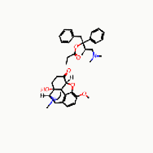 CCC(=O)O[C@](Cc1ccccc1)(c1ccccc1)[C@H](C)CN(C)C.COc1ccc2c3c1O[C@H]1C(=O)CC[C@@]4(O)[C@@H](C2)N(C)CC[C@]314